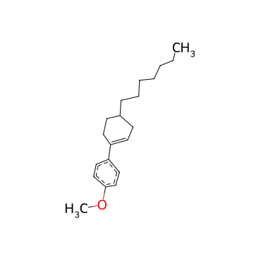 CCCCCCCC1CC=C(c2ccc(OC)cc2)CC1